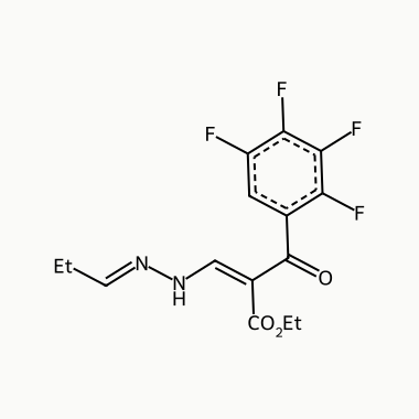 CCC=NNC=C(C(=O)OCC)C(=O)c1cc(F)c(F)c(F)c1F